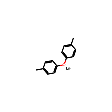 Cc1ccc(Oc2ccc(C)cc2)cc1.[LiH]